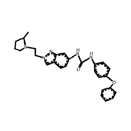 CC1CCCN1CCn1cc2ccc(NC(=O)Nc3ccc(Oc4ccccc4)cc3)cc2n1